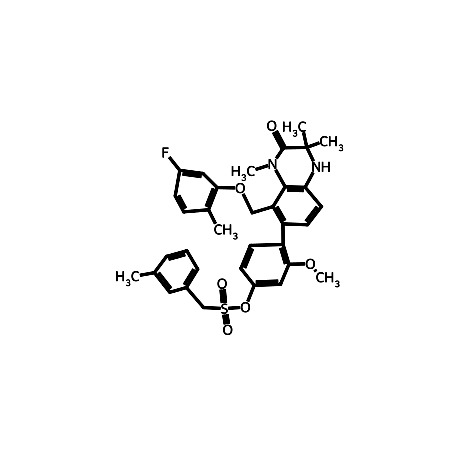 COc1cc(OS(=O)(=O)Cc2cccc(C)c2)ccc1-c1ccc2c(c1COc1cc(F)ccc1C)N(C)C(=O)C(C)(C)N2